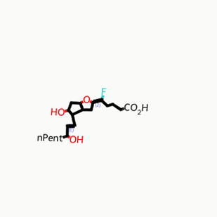 CCCCCC(O)/C=C/C1C(O)CC2O/C(=C(\F)CCCC(=O)O)CC21